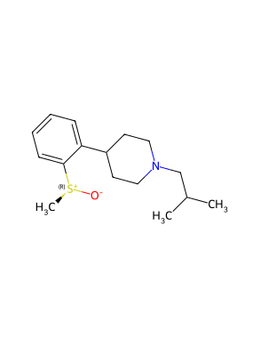 CC(C)CN1CCC(c2ccccc2[S@+](C)[O-])CC1